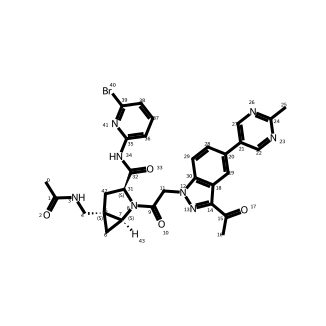 CC(=O)NC[C@@]12C[C@@H]1N(C(=O)Cn1nc(C(C)=O)c3cc(-c4cnc(C)nc4)ccc31)[C@H](C(=O)Nc1cccc(Br)n1)C2